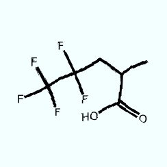 CC(CC(F)(F)C(F)(F)F)C(=O)O